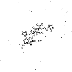 Cn1nnnc1SCC1=C(C(=O)[O-])N2C(=O)C(NC(=O)C(c3ccco3)N(C(N)=O)c3cnc(C4CC4)nc3O)[C@@H]2SC1.[Na+]